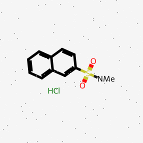 CNS(=O)(=O)c1ccc2ccccc2c1.Cl